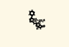 C[C@@]1(Cn2ncc(-c3ccccc3)n2)S[C@H]2CC(=O)N2[C@H]1C(=O)O